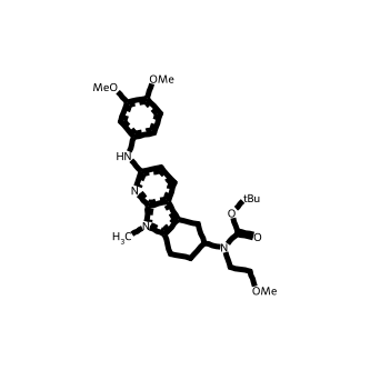 COCCN(C(=O)OC(C)(C)C)C1CCc2c(c3ccc(Nc4ccc(OC)c(OC)c4)nc3n2C)C1